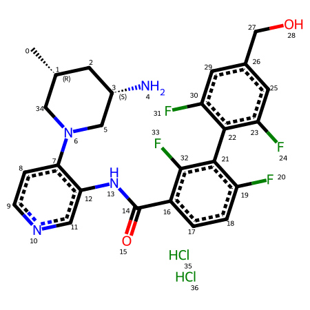 C[C@@H]1C[C@H](N)CN(c2ccncc2NC(=O)c2ccc(F)c(-c3c(F)cc(CO)cc3F)c2F)C1.Cl.Cl